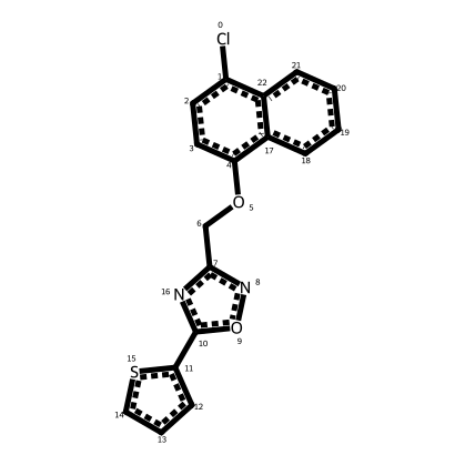 Clc1ccc(OCc2noc(-c3cccs3)n2)c2ccccc12